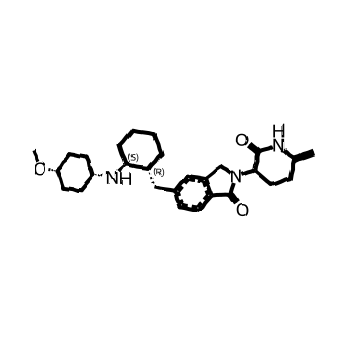 C=C1CCC(N2Cc3cc(C[C@H]4CCCC[C@@H]4N[C@H]4CC[C@@H](OC)CC4)ccc3C2=O)C(=O)N1